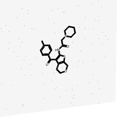 Cc1ccc(C(=O)c2c(NC(=O)CN3CCCCC3)sc3c2CCOC3)cc1